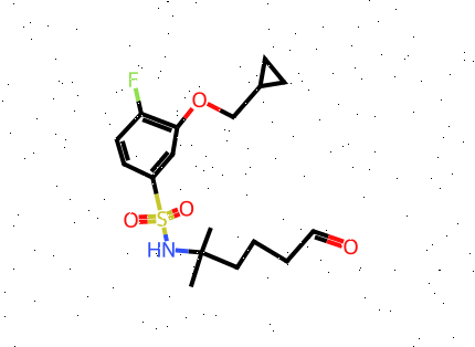 CC(C)(CCCC=O)NS(=O)(=O)c1ccc(F)c(OCC2CC2)c1